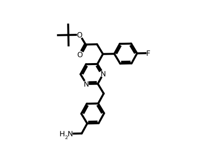 CC(C)(C)OC(=O)CC(c1ccc(F)cc1)c1ccnc(Cc2ccc(CN)cc2)n1